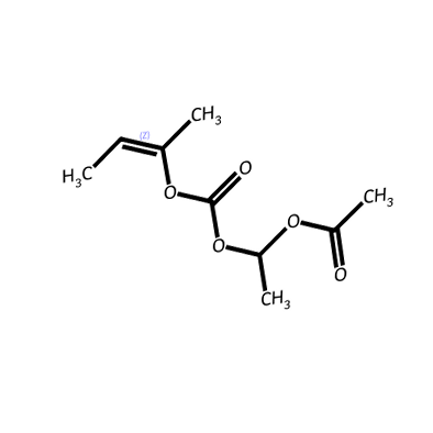 C/C=C(/C)OC(=O)OC(C)OC(C)=O